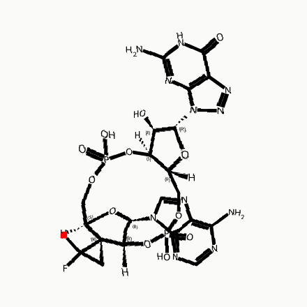 Nc1nc2c(nnn2[C@@H]2O[C@@H]3COP(=O)(O)O[C@H]4[C@H](n5cnc6c(N)ncnc65)O[C@H](COP(=O)(O)O[C@H]3[C@H]2O)[C@]42CC2(F)F)c(=O)[nH]1